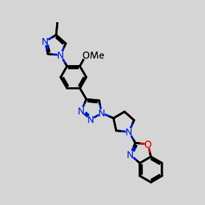 COc1cc(-c2cn(C3CCN(c4nc5ccccc5o4)C3)nn2)ccc1-n1cnc(C)c1